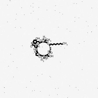 CCCCCCCCCC1CCCC(=O)NC(C(C)O)C(=O)NC(C)C(=O)N2CCCC2C(=O)NC(CCC(N)=O)C(=O)NC(Cc2ccccc2O)C(=O)NC(C(C)C)C(=O)O1